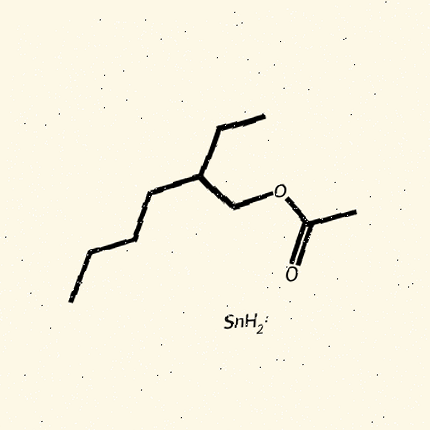 CCCCC(CC)COC(C)=O.[SnH2]